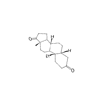 CC[C@]12CCC(=O)C[C@H]1CC[C@@H]1C2CC[C@]2(C)C(=O)CCC12